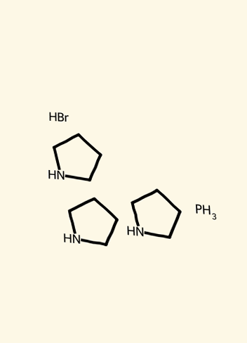 Br.C1CCNC1.C1CCNC1.C1CCNC1.P